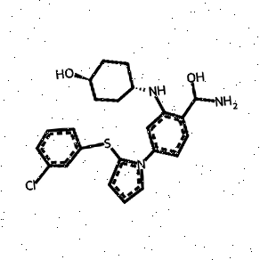 NC(O)c1ccc(-n2cccc2Sc2cccc(Cl)c2)cc1N[C@H]1CC[C@H](O)CC1